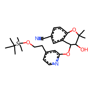 CC1(C)Oc2ccc(C#N)cc2C(Oc2cc(CCO[Si](C)(C)C(C)(C)C)ccn2)C1O